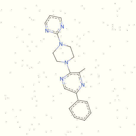 Cc1nc(-c2ccccc2)cnc1N1CCN(c2ncccn2)CC1